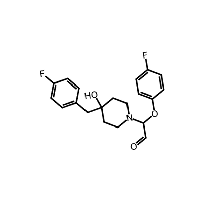 O=CC(Oc1ccc(F)cc1)N1CCC(O)(Cc2ccc(F)cc2)CC1